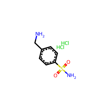 Cl.Cl.NCc1ccc(S(N)(=O)=O)cc1